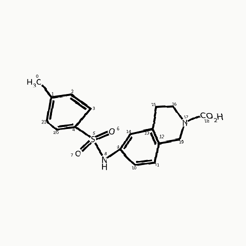 Cc1ccc(S(=O)(=O)Nc2ccc3c(c2)CCN(C(=O)O)C3)cc1